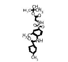 Cc1ccc(C(=O)Nc2ccc(S(=O)(=O)NCC(=O)OC(C)(C)C)cc2C)cc1